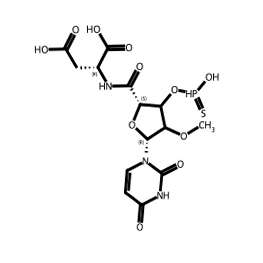 COC1C(O[PH](O)=S)[C@@H](C(=O)N[C@H](CC(=O)O)C(=O)O)O[C@H]1n1ccc(=O)[nH]c1=O